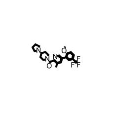 COc1ccc(C(F)(F)F)cc1-c1cnc(C(=O)N2CCC(N3CCCC3)CC2)c(C)c1